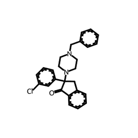 O=C1c2ccccc2CC1(c1cccc(Cl)c1)N1CCN(Cc2ccccc2)CC1